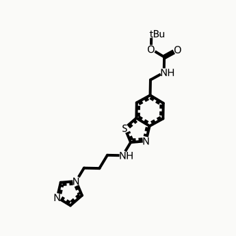 CC(C)(C)OC(=O)NCc1ccc2nc(NCCCn3ccnc3)sc2c1